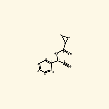 N#CC(OC(=O)C1CC1)c1ccccc1